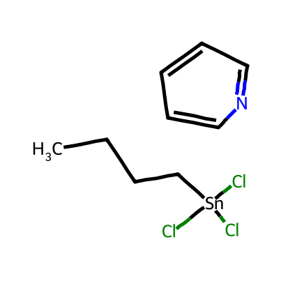 CCC[CH2][Sn]([Cl])([Cl])[Cl].c1ccncc1